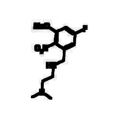 COc1cc(F)cc(CNCCN(C)C)c1[N+](=O)[O-]